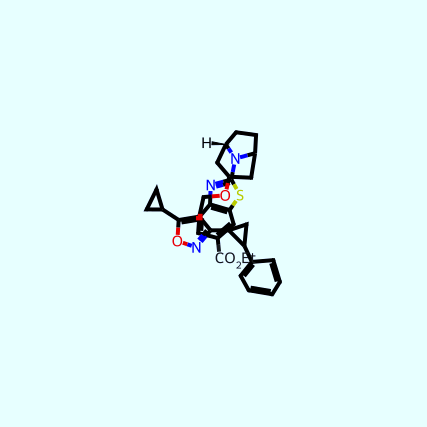 CCOC(=O)c1ccc2nc(N3C4CC[C@H]3CC(OCc3c(C5CC5c5ccccc5)noc3C3CC3)C4)sc2c1